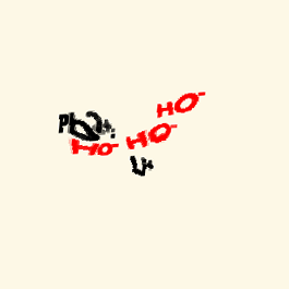 [Li+].[OH-].[OH-].[OH-].[Pb+2]